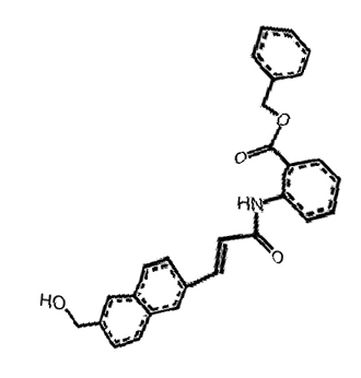 O=C(/C=C/c1ccc2cc(CO)ccc2c1)Nc1ccccc1C(=O)OCc1ccccc1